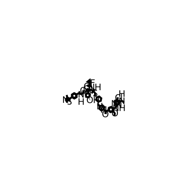 CNc1nc(Nc2ccc(C(=O)N3CCN(C[C@@H]4CCC[C@H](CSC(C)(C)[C@H](NC(=O)C5(F)CC5)C(=O)N5C[C@H](O)C[C@@H]5C(=O)NCc5ccc(-c6scnc6C)cc5)C4)CC3)cc2OC)ncc1Cl